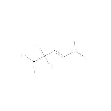 C=C(O)C(O)(O)C=CC(N)=O